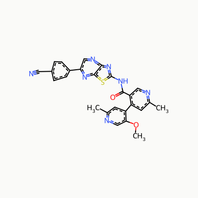 COc1cnc(C)cc1-c1cc(C)ncc1C(=O)Nc1nc2ncc(-c3ccc(C#N)cc3)nc2s1